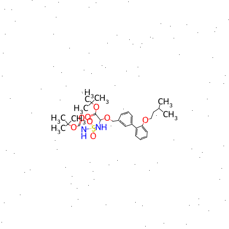 CC(C)CCOc1ccccc1-c1cccc(COC(NS(=O)(=O)NC(=O)OC(C)(C)C)C(=O)OC(C)(C)C)c1